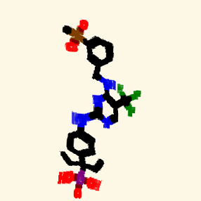 CCC(CC)(c1ccc(Nc2ncc(C(F)(F)F)c(NCc3cccc(S(C)(=O)=O)c3)n2)cc1)P(=O)(O)O